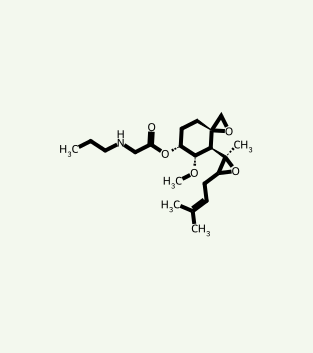 CCCNCC(=O)O[C@@H]1CC[C@]2(CO2)[C@@H]([C@@]2(C)OC2CC=C(C)C)[C@@H]1OC